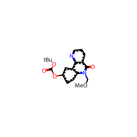 COCn1c(=O)c2cccnc2c2cc(OC(=O)OC(C)(C)C)ccc21